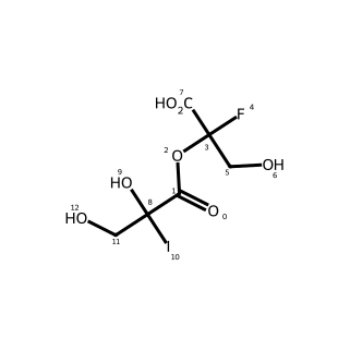 O=C(OC(F)(CO)C(=O)O)C(O)(I)CO